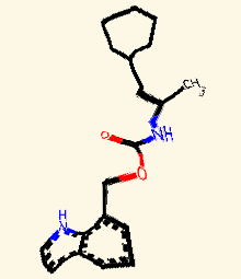 CC(CC1CCCCC1)NC(=O)OCc1cccc2cc[nH]c12